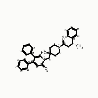 C[C@H](CC(=O)N1CCC(O)(Cn2cc(-c3ccccc3)c(-c3ccccc3)cc2=O)CC1)c1ccccc1